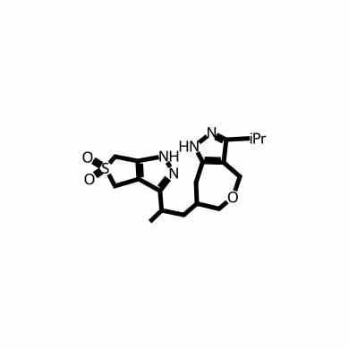 CC(C)c1n[nH]c2c1COCC(CC(C)c1n[nH]c3c1CS(=O)(=O)C3)C2